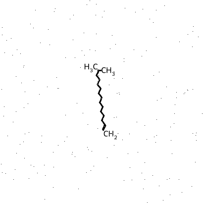 [CH2]/C=C/CCCCCCCCCCC[C](C)C